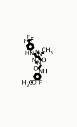 CCn1nc(Nc2ccc(C(F)(F)F)cc2)c2ncn(CC(=O)Nc3ccc(OC)c(F)c3)c(=O)c21